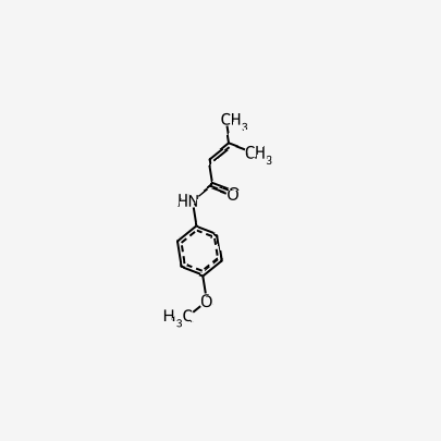 COc1ccc(NC(=O)C=C(C)C)cc1